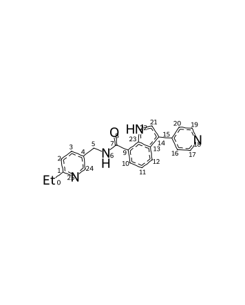 CCc1ccc(CNC(=O)c2cccc3c(-c4ccncc4)c[nH]c23)cn1